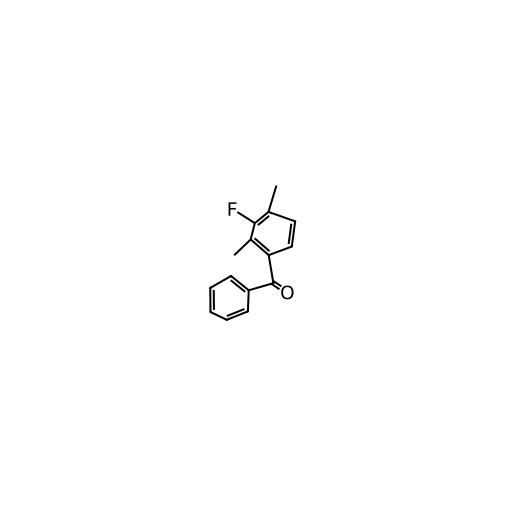 Cc1ccc(C(=O)c2ccccc2)c(C)c1F